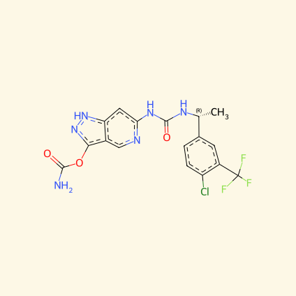 C[C@@H](NC(=O)Nc1cc2[nH]nc(OC(N)=O)c2cn1)c1ccc(Cl)c(C(F)(F)F)c1